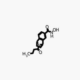 CCCC(=O)N1C2CCC1c1cc(C(=O)NO)ccc12